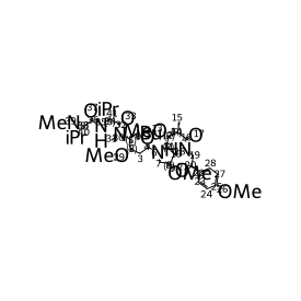 CCC(C)[C@@H]([C@H](CC(=O)N1C[C@H](OC)C[C@@H]1[C@H](OC)[C@@H](C)C(=O)NCC(=O)c1ccc(OC)cc1)OC)N(C)C(=O)[C@@H](NC(=O)[C@@H](NC)C(C)C)C(C)C